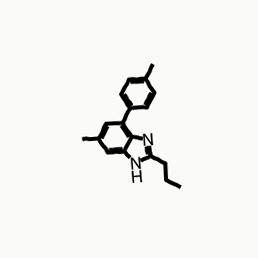 CCCc1nc2c(-c3ccc(C)cc3)cc(C)cc2[nH]1